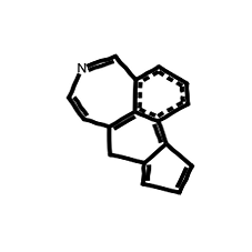 C1=CC2=c3cccc4c3=C(C=CN=C4)CC2=C1